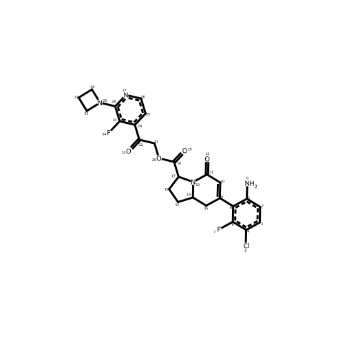 Nc1ccc(Cl)c(F)c1C1=CC(=O)N2C(CCC2C(=O)OCC(=O)c2ccnc(N3CCC3)c2F)C1